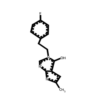 Cc1cc2c(O)n(CCc3ccc(F)cc3)cnc-2n1